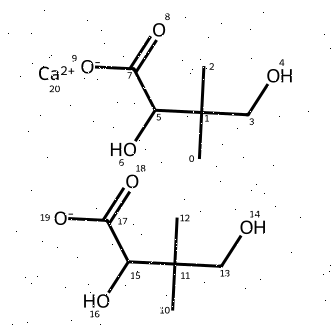 CC(C)(CO)C(O)C(=O)[O-].CC(C)(CO)C(O)C(=O)[O-].[Ca+2]